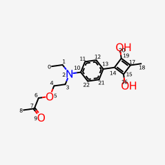 CCN(CCOCC(C)=O)c1ccc(C2=C(O)C(C)=C2O)cc1